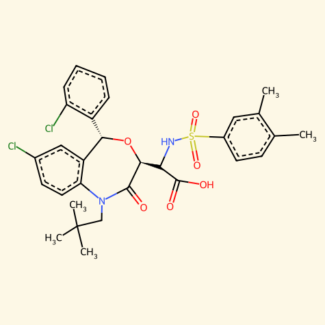 Cc1ccc(S(=O)(=O)NC(C(=O)O)[C@@H]2O[C@@H](c3ccccc3Cl)c3cc(Cl)ccc3N(CC(C)(C)C)C2=O)cc1C